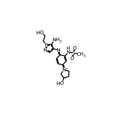 CS(=O)(=O)NC1=CC(=[N+]2CCC(O)C2)C=CC1=Nc1cnn(CCO)c1N